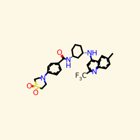 Cc1ccc2nc(C(F)(F)F)cc(N[C@H]3CCC[C@@H](NC(=O)c4ccc(N5CCS(=O)(=O)CC5)cc4)C3)c2c1